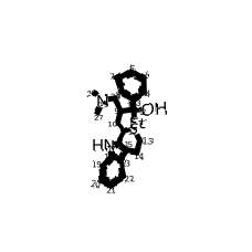 CCC(O)(c1ccccc1)C(CC1SCCc2c1[nH]c1ccccc21)CN(C)C